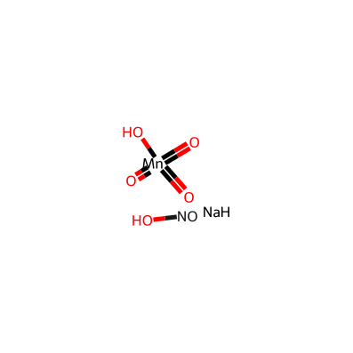 O=NO.[NaH].[O]=[Mn](=[O])(=[O])[OH]